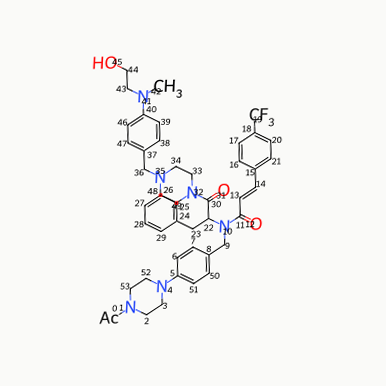 CC(=O)N1CCN(c2ccc(CN(C(=O)C=Cc3ccc(C(F)(F)F)cc3)C(Cc3ccccc3)C(=O)N3CCN(Cc4ccc(N(C)CCO)cc4)CC3)cc2)CC1